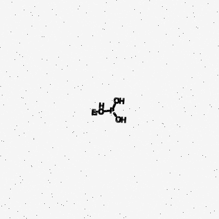 OP(O)O.[Er]